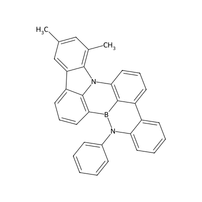 Cc1cc(C)c2c(c1)c1cccc3c1n2-c1cccc2c1B3N(c1ccccc1)c1ccccc1-2